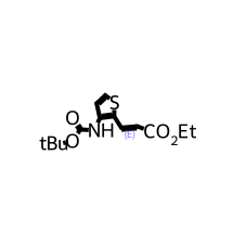 CCOC(=O)/C=C/c1sccc1NC(=O)OC(C)(C)C